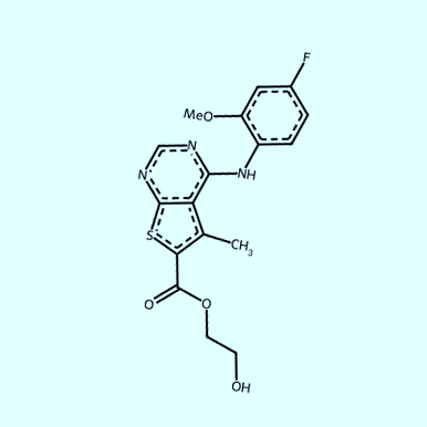 COc1cc(F)ccc1Nc1ncnc2sc(C(=O)OCCO)c(C)c12